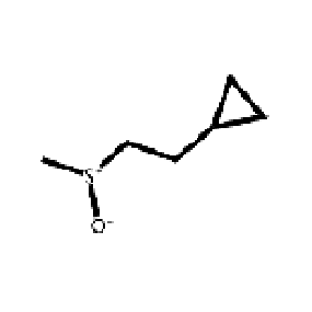 C[S+]([O-])CCC1[CH]C1